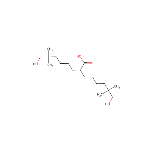 CC(C)(CO)CCCCC(CCCCC(C)(C)CO)C(=O)O